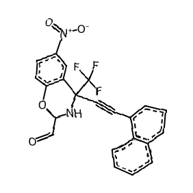 O=CC1NC(C#Cc2cccc3ccccc23)(C(F)(F)F)c2cc([N+](=O)[O-])ccc2O1